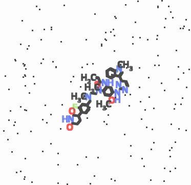 C=CC(=O)Nc1cc(Nc2nccc(-c3cn(C)c4ccccc34)n2)c(OC)cc1N(C)CCN(C)Cc1ccc(C2CCC(=O)NC2=O)c(F)c1